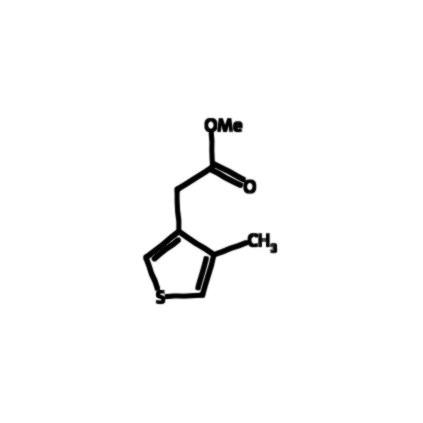 COC(=O)Cc1cscc1C